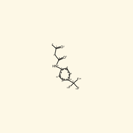 CC(=O)CC(=O)Nc1ccc(C(F)(F)F)cc1